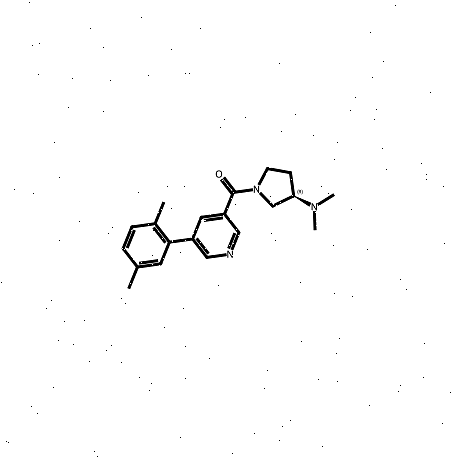 Cc1ccc(C)c(-c2cncc(C(=O)N3CC[C@@H](N(C)C)C3)c2)c1